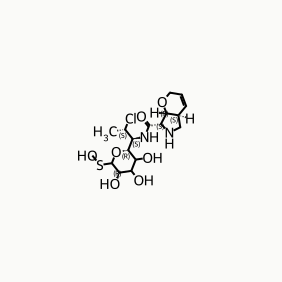 C[C@H](Cl)[C@@H](NC(=O)[C@H]1NC[C@@H]2C=CCO[C@@H]12)[C@H]1OC(SO)[C@H](O)C(O)C1O